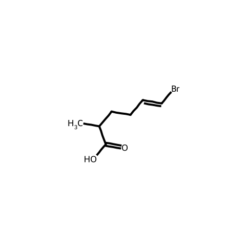 CC(CC/C=C/Br)C(=O)O